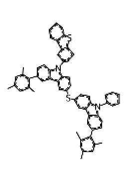 Cc1cc(C)c(-c2ccc3c(c2)c2cc(Sc4ccc5c(c4)c4cc(-c6c(C)cc(C)cc6C)ccc4n5-c4ccc5sc6ccccc6c5c4)ccc2n3-c2ccccc2)c(C)c1